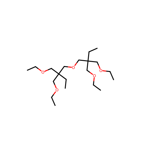 CCOCC(CC)(COCC)COCC(CC)(COCC)COCC